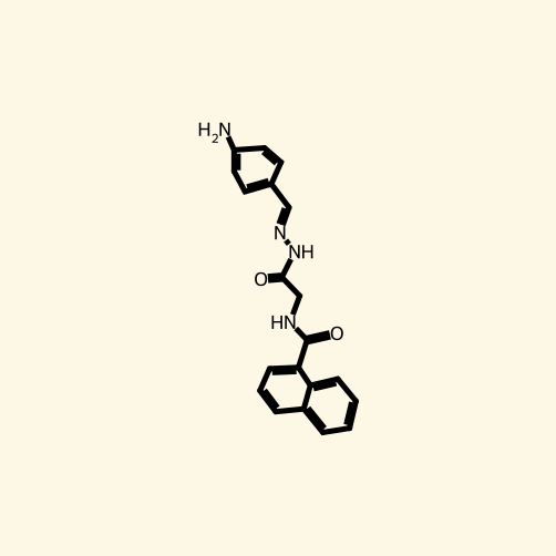 Nc1ccc(C=NNC(=O)CNC(=O)c2cccc3ccccc23)cc1